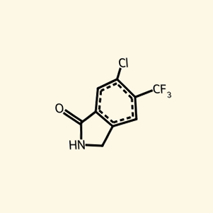 O=C1NCc2cc(C(F)(F)F)c(Cl)cc21